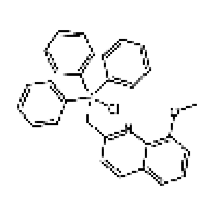 COc1cccc2ccc(CP(Cl)(c3ccccc3)(c3ccccc3)c3ccccc3)nc12